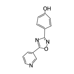 Oc1ccc(-c2noc(-c3cccnc3)n2)cc1